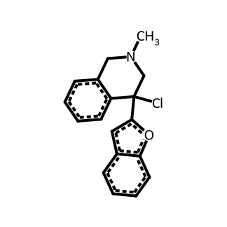 CN1Cc2ccccc2C(Cl)(c2cc3ccccc3o2)C1